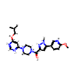 COc1ccc(-c2cc(C(=O)N3CCN(c4cc(OCC(C)C)ncn4)CC3)nn2C)cn1